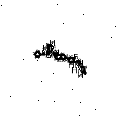 O=C(OCc1ccccc1)N1[C@@H]2C[C@@H]2C[C@H]1c1nc2c(ccc3cc(-c4ccc(-c5cnc([C@@H]6CC7C[C@H]7N6)[nH]5)c(F)c4)ccc32)[nH]1